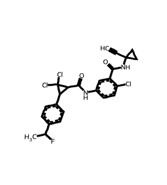 C#CC1(NC(=O)c2cc(NC(=O)C3C(c4ccc(C(C)F)cc4)C3(Cl)Cl)ccc2Cl)CC1